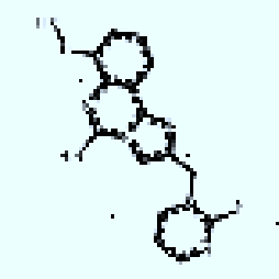 COc1cccc2c1nc(N)n1cc(Cc3cccnc3F)nc21